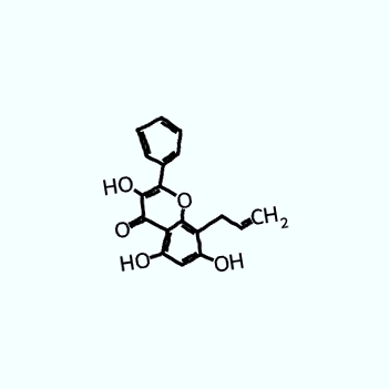 C=CCc1c(O)cc(O)c2c(=O)c(O)c(-c3ccccc3)oc12